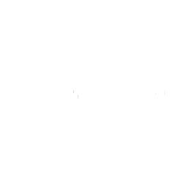 CCCCCCCCCCCCCCCCCC(=O)C(=O)OCCCCCCCC